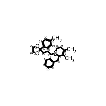 CC1=C(C)C(Cc2ccccc2)N(CCCC2(c3ccc(C)cc3)OCCO2)CC1